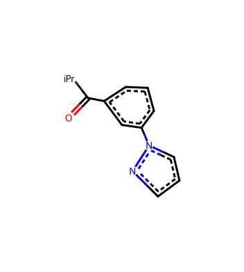 CC(C)C(=O)c1cccc(-n2cccn2)c1